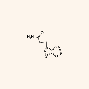 NC(=O)CCc1csc2ccccc12